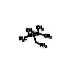 C[SiH](C)C(CP)[SiH](C)C